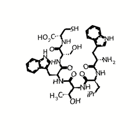 CC(C)C[C@H](NC(=O)[C@@H](N)Cc1c[nH]c2ccccc12)C(=O)N[C@H](C(=O)N[C@@H](Cc1c[nH]c2ccccc12)C(=O)N[C@@H](CO)C(=O)N[C@@H](CS)C(=O)O)[C@@H](C)O